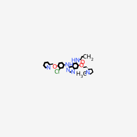 C=CC(=O)Nc1cc2c(Nc3ccc(OCc4ccccn4)c(Cl)c3)ncnc2cc1OCC[C@@H]1CCCN1C